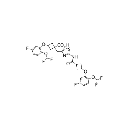 O=C(Nc1nc(CC2(C(=O)O)CC(Oc3cc(F)ccc3OC(F)F)C2)cs1)C1CC(Oc2cc(F)ccc2OC(F)F)C1